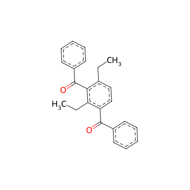 CCc1ccc(C(=O)c2ccccc2)c(CC)c1C(=O)c1ccccc1